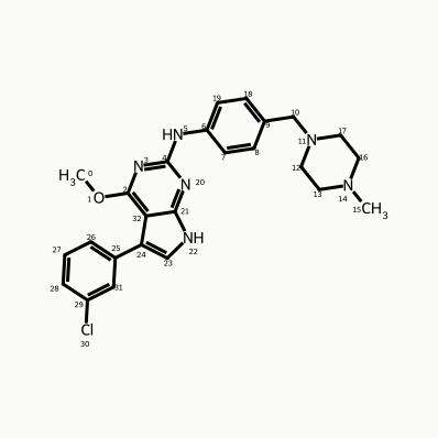 COc1nc(Nc2ccc(CN3CCN(C)CC3)cc2)nc2[nH]cc(-c3cccc(Cl)c3)c12